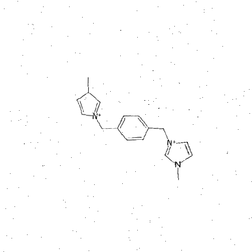 CC1C=C[N+](Cc2ccc(C[n+]3ccn(C)c3)cc2)=C1